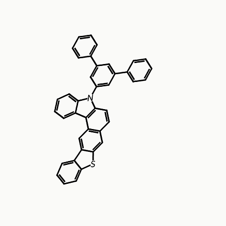 c1ccc(-c2cc(-c3ccccc3)cc(-n3c4ccccc4c4c5cc6c(cc5ccc43)sc3ccccc36)c2)cc1